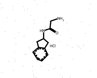 Cl.NCC(=O)NC1Cc2ccccc2C1